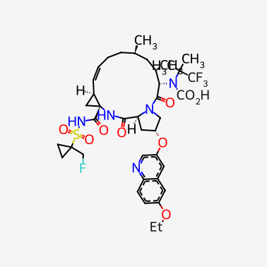 CCOc1ccc2ncc(O[C@@H]3C[C@H]4C(=O)N[C@]5(C(=O)NS(=O)(=O)C6(CF)CC6)C[C@H]5C=CCC[C@@H](C)C[C@@H](C)[C@H](N(C(=O)O)C(C)(C)C(F)(F)F)C(=O)N4C3)cc2c1